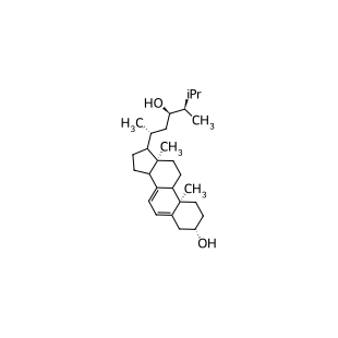 CC(C)[C@@H](C)[C@H](O)C[C@@H](C)C1CCC2C3=CC=C4C[C@@H](O)CC[C@]4(C)C3CC[C@@]21C